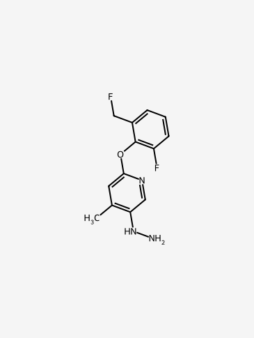 Cc1cc(Oc2c(F)cccc2CF)ncc1NN